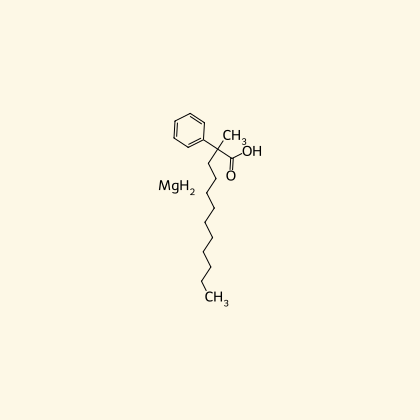 CCCCCCCCCCC(C)(C(=O)O)c1ccccc1.[MgH2]